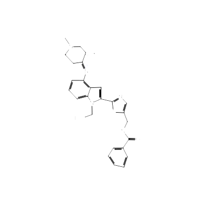 CN1CC/C(=N\c2cccc3c2cc(-c2ncc(CNC(=O)c4ccccc4)s2)n3CC(F)(F)F)[C@@H](F)C1